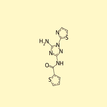 Nc1nc(NC(=O)c2cccs2)nn1-c1nccs1